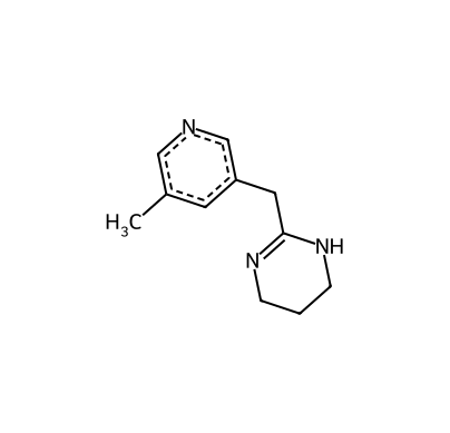 Cc1cncc(CC2=NCCCN2)c1